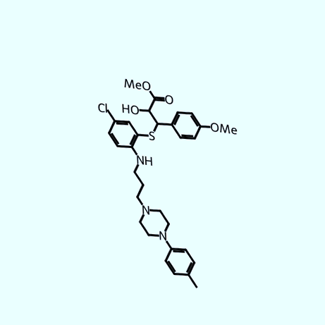 COC(=O)C(O)C(Sc1cc(Cl)ccc1NCCCN1CCN(c2ccc(C)cc2)CC1)c1ccc(OC)cc1